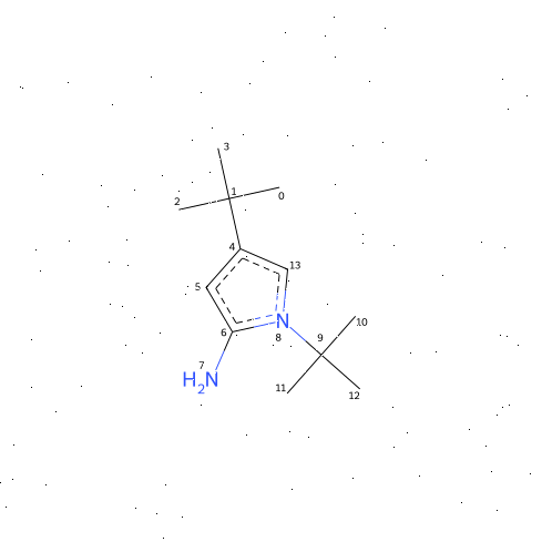 CC(C)(C)c1cc(N)n(C(C)(C)C)c1